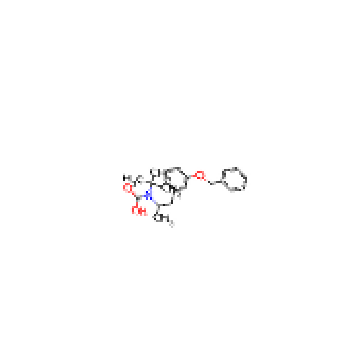 CC(Cc1cccc(OCc2ccccc2)c1)N(C(=O)O)C(C)(C)C